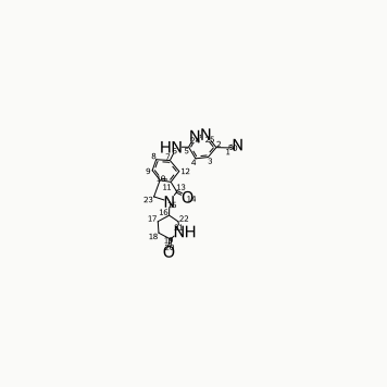 N#Cc1ccc(Nc2ccc3c(c2)C(=O)N(C2CCC(=O)NC2)C3)nn1